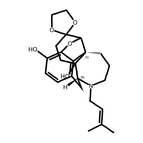 CC(C)=CCN1CCC[C@]23c4c5ccc(O)c4OC2C2(CCC3(O)[C@H]1C5)OCCO2